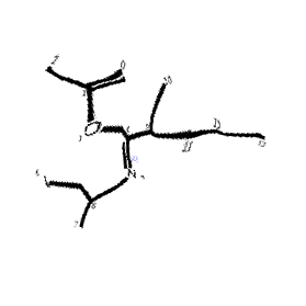 C=C(C)O/C(=N\C(C)I)C(C)CCC